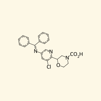 O=C(O)N1CCOC(c2ncc(N=C(c3ccccc3)c3ccccc3)cc2Cl)C1